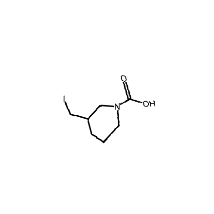 O=C(O)N1CCCC(CI)C1